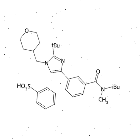 CCC(C)N(C)C(=O)c1cccc(-c2cn(CC3CCOCC3)c(C(C)(C)C)n2)c1.O=S(=O)(O)c1ccccc1